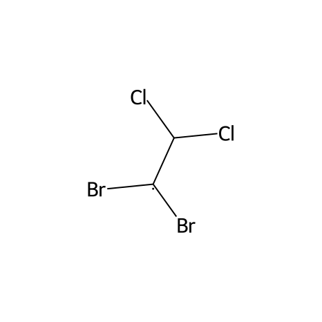 ClC(Cl)[C](Br)Br